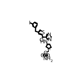 NS(=O)(=O)OC[C@@H]1CC[C@H](Nc2ncncc2C(=O)c2cc(Cc3cccc(I)c3)cs2)C1